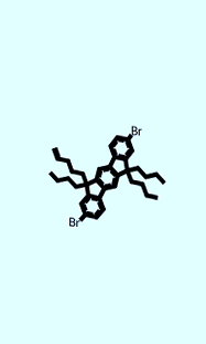 C=CCCCC1(CCCC)c2cc(Br)ccc2-c2cc3c(cc21)-c1ccc(Br)cc1C3(CCCC)CCCC